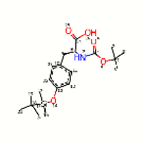 CC(C)(C)OC(=O)N[C@@H](Cc1ccc(O[Si](C)(C)C(C)(C)C)cc1)C(=O)O